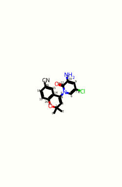 CC1(C)C=C(n2cc(Cl)cc(N)c2=O)c2cc(C#N)ccc2O1